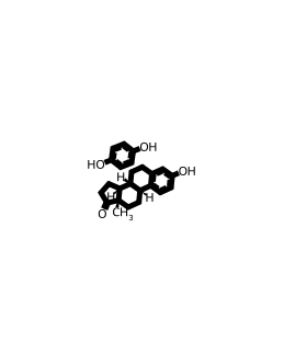 C[C@]12CC[C@@H]3c4ccc(O)cc4CC[C@H]3[C@@H]1CCC2=O.Oc1ccc(O)cc1